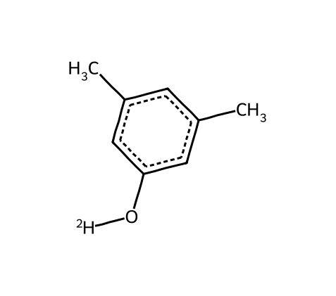 [2H]Oc1cc(C)cc(C)c1